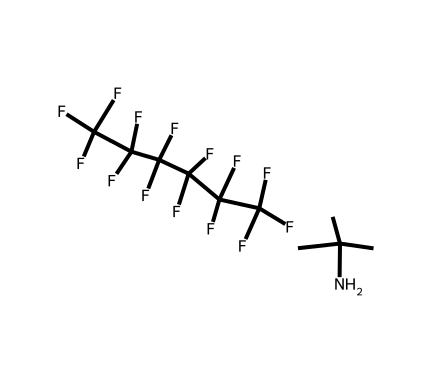 CC(C)(C)N.FC(F)(F)C(F)(F)C(F)(F)C(F)(F)C(F)(F)C(F)(F)F